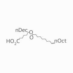 CCCCCCCC/C=C\CCCCCCCC(=O)OC(CCCCCCCCCC)CCCCC(=O)O